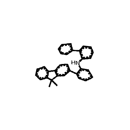 CC1(C)c2ccccc2-c2ccc(-c3ccccc3Nc3ccccc3-c3ccccc3)cc21